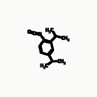 CC(C)c1ccc(N=C=O)c(C(C)C)c1